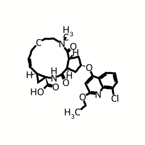 CCOc1cc(O[C@@H]2C[C@H]3C(=O)N[C@]4(C(=O)O)C[C@H]4/C=C\CCCCN(C)C(=O)[C@@H]3C2)c2cccc(Cl)c2n1